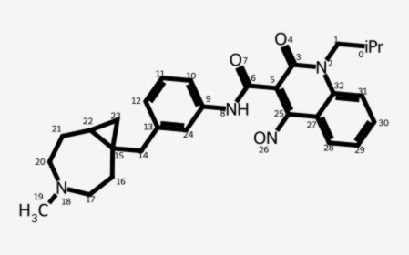 CC(C)Cn1c(=O)c(C(=O)Nc2cccc(CC34CCN(C)CCC3C4)c2)c(N=O)c2ccccc21